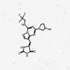 O=C1NC(=O)/C(=C/c2cnn3c(NCC(F)(F)F)nc(N4CC[C@@H](F)C4)nc23)N1